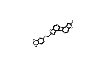 Fc1cc2c3c(ccc2s1)-c1c-3ccc2sc(CCc3ccc4c(c3)OCO4)cc12